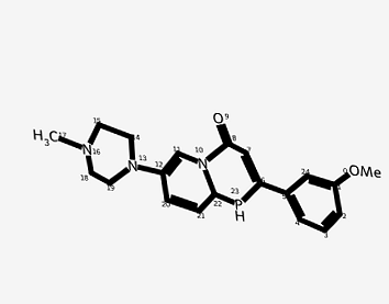 COc1cccc(C2=CC(=O)N3C=C(N4CCN(C)CC4)C=CC3P2)c1